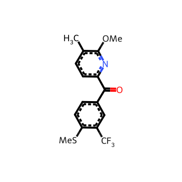 COc1nc(C(=O)c2ccc(SC)c(C(F)(F)F)c2)ccc1C